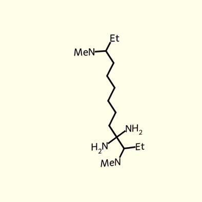 CCC(CCCCCCC(N)(N)C(CC)NC)NC